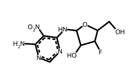 Nc1ncnc(NC2OC(CO)C(F)C2O)c1[N+](=O)[O-]